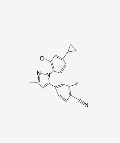 Cc1cc(-c2ccc(C#N)c(F)c2)n(-c2ccc(C3CC3)cc2Cl)n1